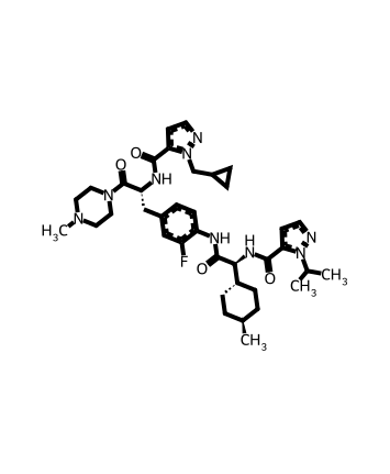 CC(C)n1nccc1C(=O)N[C@H](C(=O)Nc1ccc(C[C@@H](NC(=O)c2ccnn2CC2CC2)C(=O)N2CCN(C)CC2)cc1F)[C@H]1CC[C@H](C)CC1